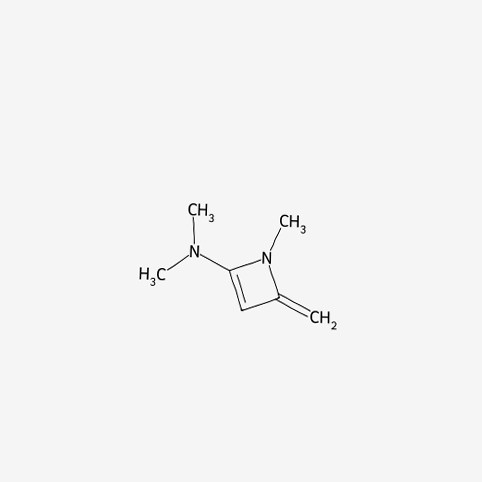 C=C1C=C(N(C)C)N1C